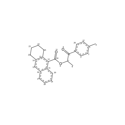 Cc1ccc(C(=O)C(C)OC(=O)c2c3c(cc4ccccc24)CCCC3)cc1